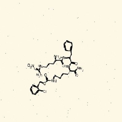 NC(=O)[C@H](CCCCNC(=O)OCc1ccccc1Cl)NC(=O)[C@H](Cc1ccccc1)NC(=O)[C@H](N)CCCN/C(N)=N\[N+](=O)[O-]